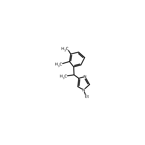 CCn1cnc(C(C)c2cccc(C)c2C)c1